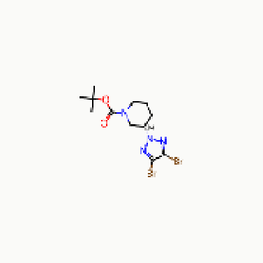 CC(C)(C)OC(=O)N1CCC[C@H](n2nc(Br)c(Br)n2)C1